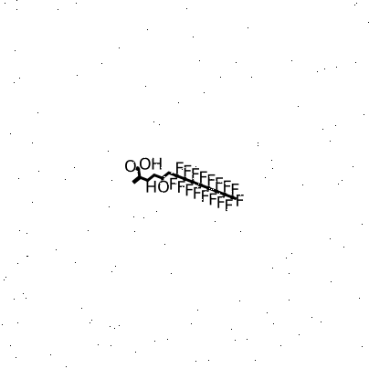 C=C(CCC(O)CC(F)(F)C(F)(F)C(F)(F)C(F)(F)C(F)(F)C(F)(F)C(F)(F)C(F)(F)F)C(=O)O